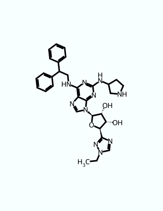 CCn1cnc([C@H]2O[C@@H](n3cnc4c(NCC(c5ccccc5)c5ccccc5)nc(NC5CCNC5)nc43)[C@H](O)[C@@H]2O)n1